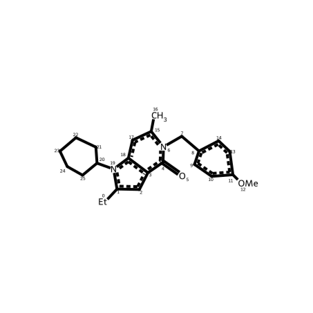 CCc1cc2c(=O)n(Cc3ccc(OC)cc3)c(C)cc2n1C1CCCCC1